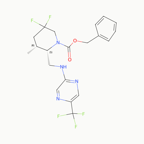 C[C@@H]1CC(F)(F)CN(C(=O)OCc2ccccc2)[C@@H]1CNc1cnc(C(F)(F)F)cn1